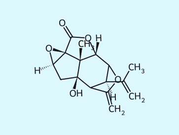 C=C1OC2[C@@H](C(=C)C)C1[C@]1(O)C[C@H]3O[C@]34C(=O)O[C@H]2[C@]14C